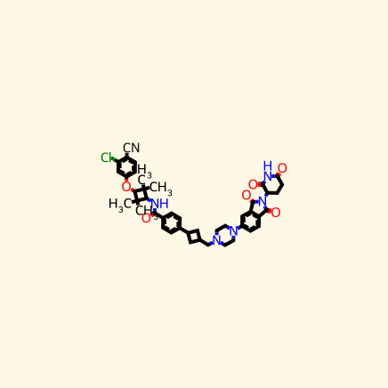 CC1(C)C(NC(=O)c2ccc(C3CC(CN4CCN(c5ccc6c(c5)C(=O)N(C5CCC(=O)NC5=O)C6=O)CC4)C3)cc2)C(C)(C)C1Oc1ccc(C#N)c(Cl)c1